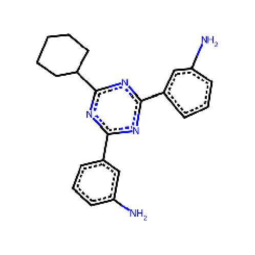 Nc1cccc(-c2nc(-c3cccc(N)c3)nc(C3CCCCC3)n2)c1